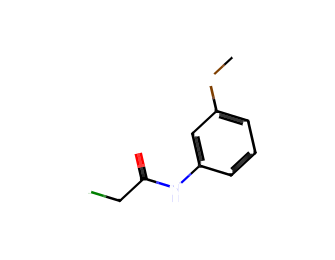 CSc1cccc(NC(=O)CCl)c1